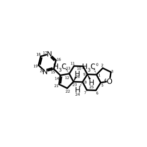 C[C@]12CCOC1CC[C@@H]1[C@@H]2CC[C@]2(C)C(c3cnccn3)=CC[C@@H]12